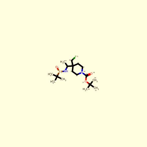 CC(N[S+]([O-])C(C)(C)C)C1(CF)CCN(C(=O)OC(C)(C)C)CC1